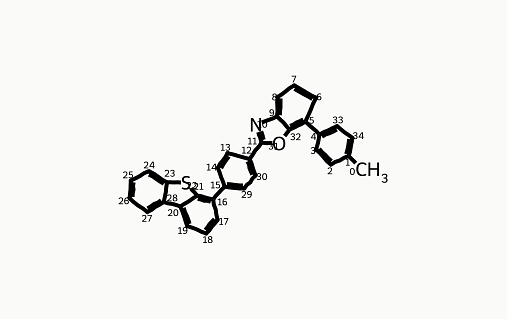 Cc1ccc(-c2cccc3nc(-c4ccc(-c5cccc6c5sc5ccccc56)cc4)oc23)cc1